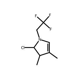 CC1=CN(CC(F)(F)F)C(Cl)C1C